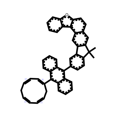 CC1(C)c2ccc(-c3c4ccccc4c(/C4=C/C=C\C/C=C\C=C/C4)c4ccccc34)cc2-c2cc3c(ccc4oc5ccccc5c43)cc21